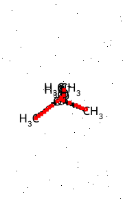 CCCCCCCCCCCCCCCCOC[C@@H](COP(=O)([O-])OCC[N+](C)(C)C)OCCCCCCCCCCCCCCCC